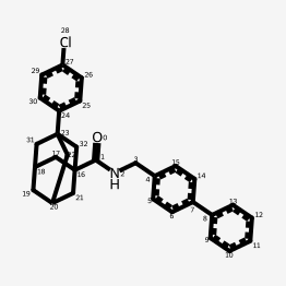 O=C(NCc1ccc(-c2ccccc2)cc1)C12CC3CC(C1)CC(c1ccc(Cl)cc1)(C3)C2